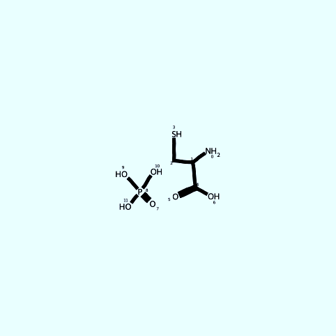 NC(CS)C(=O)O.O=P(O)(O)O